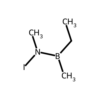 CCB(C)N(C)I